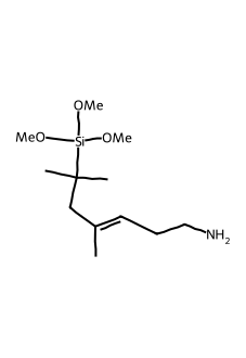 CO[Si](OC)(OC)C(C)(C)CC(C)=CCCN